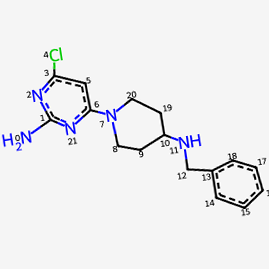 Nc1nc(Cl)cc(N2CCC(NCc3ccccc3)CC2)n1